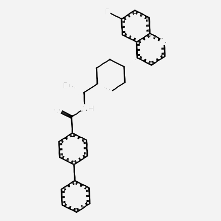 CC[C@@H](NC(=O)c1ccc(-c2ccccc2)cc1)[C@H]1CC[C@@H](c2ccnc3ccc(F)cc32)CC1